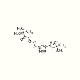 CC(C)(C)CCc1cn(CCOCC(=O)C(C)(C)C)nn1